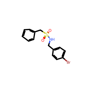 O=S(=O)(Cc1ccccc1)NCc1ccc(Br)cc1